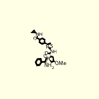 COC1C[C@@H](C(=O)Nc2nc(-c3ccc(C(=O)NC4CC4)cc3)cs2)N(C(=O)[C@H](N)c2ccccc2)C1